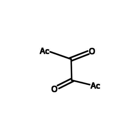 CC(=O)C(=O)C(=O)C(C)=O